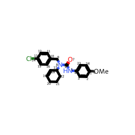 COc1ccc(NC(=O)N(Cc2ccc(Cl)cc2)C2C=CCCC2)cc1